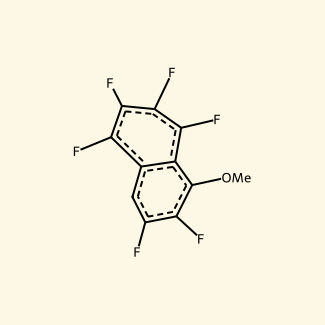 COc1c(F)c(F)cc2c(F)c(F)c(F)c(F)c12